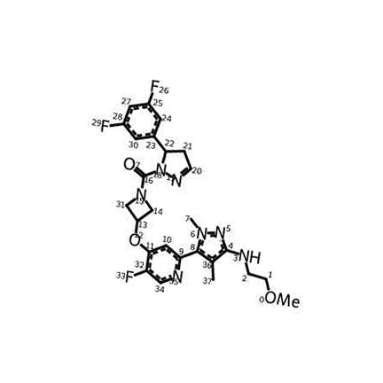 COCCNc1nn(C)c(-c2cc(OC3CN(C(=O)N4N=CCC4c4cc(F)cc(F)c4)C3)c(F)cn2)c1C